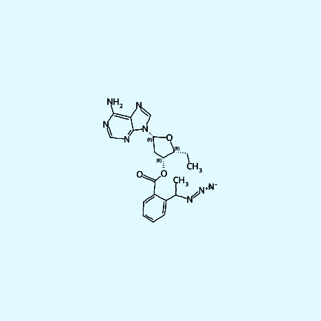 CC[C@H]1O[C@@H](n2cnc3c(N)ncnc32)C[C@H]1OC(=O)c1ccccc1C(C)N=[N+]=[N-]